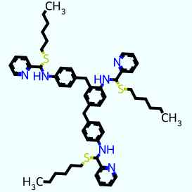 CCCCCCSC(Nc1ccc(Cc2ccc(NC(SCCCCCC)c3ccccn3)c(Cc3ccc(NC(SCCCCCC)c4ccccn4)cc3)c2)cc1)c1ccccn1